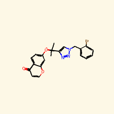 CC(C)(Oc1ccc2c(=O)ccoc2c1)c1cn(Cc2ccccc2Br)nn1